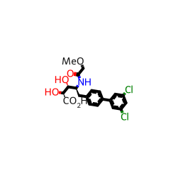 COCC(=O)N[C@@H](Cc1ccc(-c2cc(Cl)cc(Cl)c2)cc1)[C@@H](O)[C@@H](O)C(=O)O